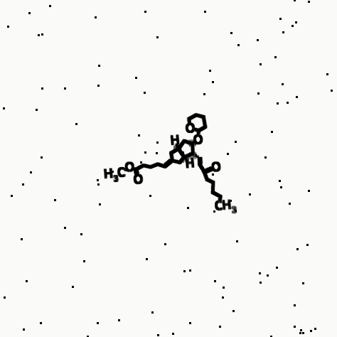 CCCCCC(=O)C=C[C@@H]1[C@H]2CC(=CCCCC(=O)OC)C[C@@H]2C[C@H]1OC1CCCCO1